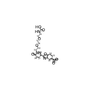 O=C(O)NCCOCCOCCn1nc(-c2nc3cc([N+](=O)[O-])ccc3o2)ccc1=O